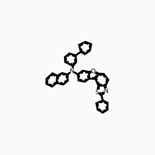 c1ccc(-c2cccc(N(c3ccc4ccccc4c3)c3ccc4c(c3)oc3ccc5nc(-c6ccccc6)sc5c34)c2)cc1